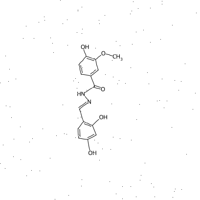 COc1cc(C(=O)N/N=C/c2ccc(O)cc2O)ccc1O